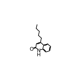 CCCCCc1cc(=O)[nH]c2ccccc12